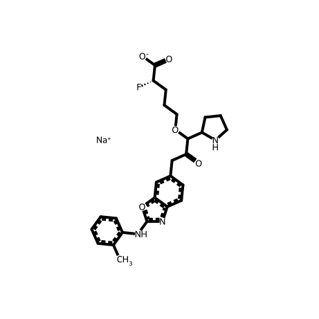 Cc1ccccc1Nc1nc2ccc(CC(=O)C(OCCC[C@H](F)C(=O)[O-])C3CCCN3)cc2o1.[Na+]